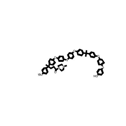 CN1CCN(C(=O)CCC(C)(c2ccc(Oc3ccc(Sc4ccc(Oc5ccc(C(C)(C)c6ccc(Oc7ccc(Sc8ccc(O)cc8)cc7)cc6)cc5)cc4)cc3)cc2)c2ccc(C(C)(C)C)cc2)CC1